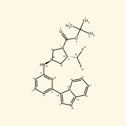 CC(C)(C)OC(=O)N1C[C@H](Nc2cncc(-c3cnc4ccccn34)n2)C[C@H]1C(F)F